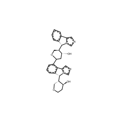 O[C@@H]1CC(c2cccc3c2-c2cncn2[C@@H]3[C@H]2COCC[C@@H]2O)OC[C@H]1[C@@H]1c2ccccc2-c2cncn21